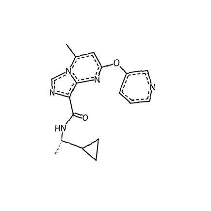 Cc1cc(Oc2cccnc2)nc2c(C(=O)N[C@@H](C)C3CC3)ncn12